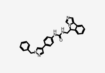 O=C(NCC1c2ccccc2-c2cncn21)Nc1ccc(-c2cnn(Cc3ccccc3)c2)cc1